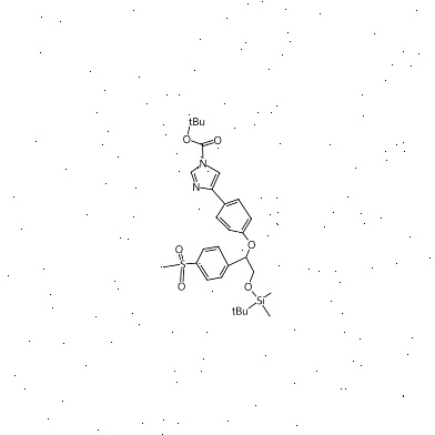 CC(C)(C)OC(=O)n1cnc(-c2ccc(OC(CO[Si](C)(C)C(C)(C)C)c3ccc(S(C)(=O)=O)cc3)cc2)c1